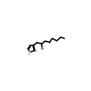 CCCCCCC(Br)Cc1ccsc1